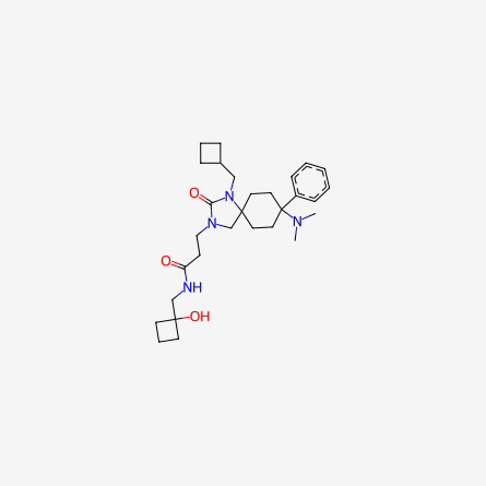 CN(C)C1(c2ccccc2)CCC2(CC1)CN(CCC(=O)NCC1(O)CCC1)C(=O)N2CC1CCC1